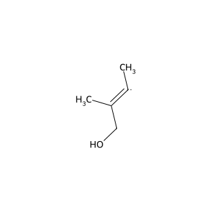 C/[C]=C(\C)CO